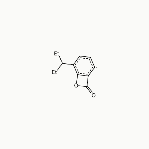 CCC(CC)c1cc[c]c2c1OC2=O